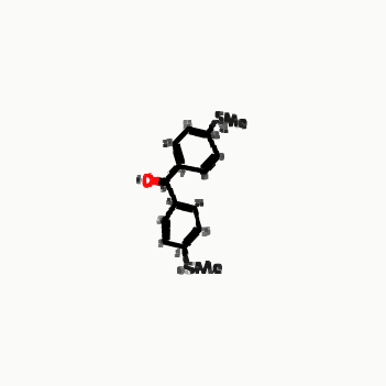 CSc1ccc(C(=O)c2ccc(SC)cc2)cc1